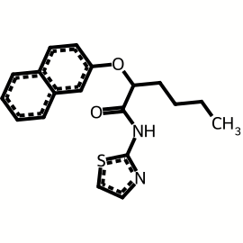 CCCCC(Oc1ccc2ccccc2c1)C(=O)Nc1nccs1